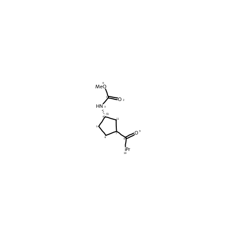 COC(=O)N[C@H]1CCC(C(=O)C(C)C)C1